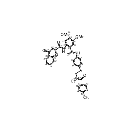 CCN(CCc1ccc(NC(=O)c2cc(OC)c(OC)cc2NC(=O)c2cc(=O)c3ccccc3o2)cc1)C(=O)c1ccc(C(F)(F)F)nc1